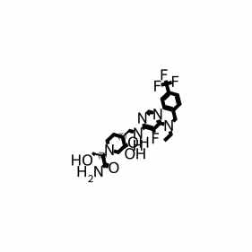 CCN(Cc1ccc(C(F)(F)F)cc1)c1ncnc(NC[C@@H]2CCN([C@H](CO)C(N)=O)CC2(O)O)c1F